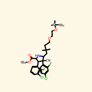 CC(C)(CCOCCO[Si](C)(C)C(C)(C)C)CC1NC(C(=O)OC(C)(C)C)C(c2cccc(Cl)c2F)C1(C#N)c1ccc(Cl)cc1F